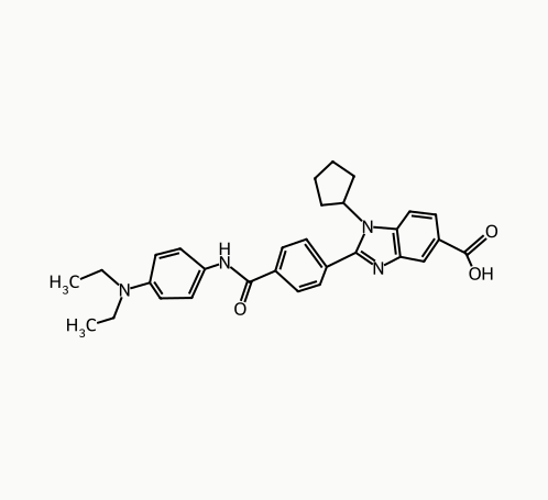 CCN(CC)c1ccc(NC(=O)c2ccc(-c3nc4cc(C(=O)O)ccc4n3C3CCCC3)cc2)cc1